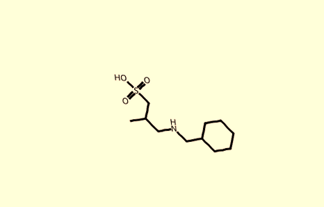 CC(CNCC1CCCCC1)CS(=O)(=O)O